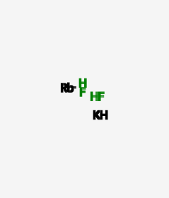 F.F.[KH].[Rb]